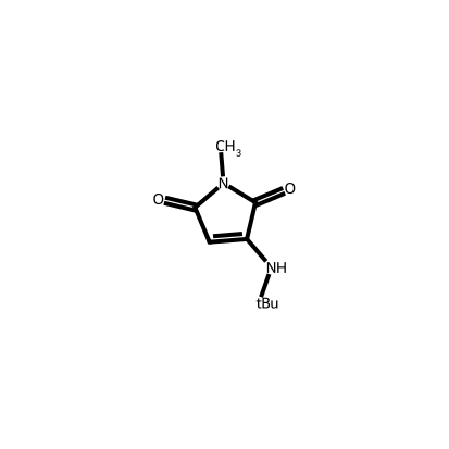 CN1C(=O)C=C(NC(C)(C)C)C1=O